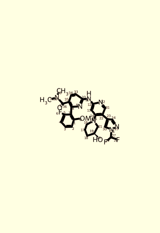 COc1cccc(F)c1-c1nc(Nc2cc(N3CCC[C@H](O)C3)c(-c3cnn(C(F)F)c3)cn2)ccc1C(=O)N(C)C